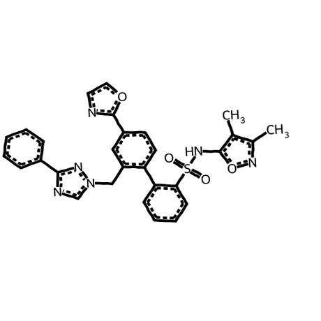 Cc1noc(NS(=O)(=O)c2ccccc2-c2ccc(-c3ncco3)cc2Cn2cnc(-c3ccccc3)n2)c1C